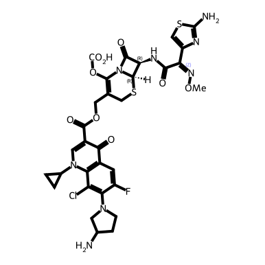 CO/N=C(\C(=O)N[C@@H]1C(=O)N2C(OC(=O)O)=C(COC(=O)c3cn(C4CC4)c4c(Cl)c(N5CCC(N)C5)c(F)cc4c3=O)CS[C@H]12)c1csc(N)n1